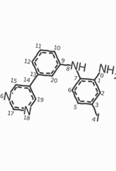 Nc1cc(I)ccc1Nc1cccc(-c2cncnc2)c1